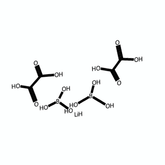 O=C(O)C(=O)O.O=C(O)C(=O)O.OB(O)O.OB(O)O.[LiH]